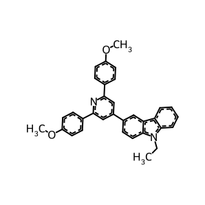 CCn1c2ccccc2c2cc(-c3cc(-c4ccc(OC)cc4)nc(-c4ccc(OC)cc4)c3)ccc21